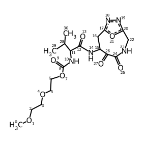 COCCOCCOC(=O)NC(C(=O)NC1Cc2nnc(o2)CNC(=O)C1=O)C(C)C